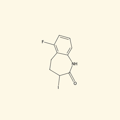 O=C1Nc2cccc(F)c2CCC1I